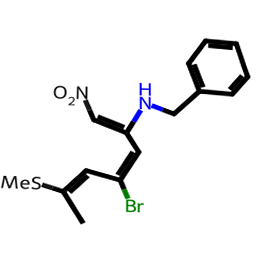 CS/C(C)=C/C(Br)=C\C(=C\[N+](=O)[O-])NCc1ccccc1